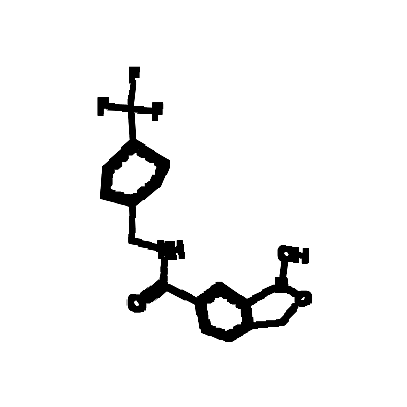 O=C(NCc1ccc(C(F)(F)F)cc1)c1ccc2c(c1)B(O)OC2